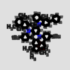 Cc1cc2c(cc1N1c3cc(C(C)(C)C)ccc3B3c4cc5c(cc4N(c4ccc(C(C)(C)C)cc4-c4ccccc4)c4cc(N6c7ccc(-c8ccccc8)cc7C7(C)CCCCC67C)cc1c43)C(C)(C)CC5(C)C)C(C)(C)CCC2(C)C